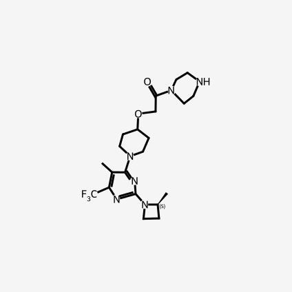 Cc1c(N2CCC(OCC(=O)N3CCNCC3)CC2)nc(N2CC[C@@H]2C)nc1C(F)(F)F